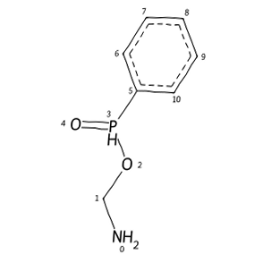 NCO[PH](=O)c1ccccc1